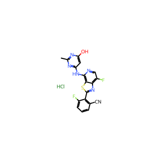 Cc1nc(O)cc(Nc2ncc(F)c3nc(-c4c(F)cccc4C#N)sc23)n1.Cl